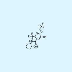 O=C(N[C@@H]1CCCC[C@H]1O)c1cc(Br)c(OCC(F)(F)F)nc1C(F)(F)F